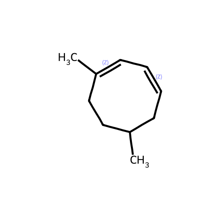 C/C1=C/C=C\CC(C)CC1